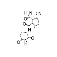 N#Cc1ccc2c(c1C(N)=O)C(=O)N(C1CCC(=O)NC1=O)C2